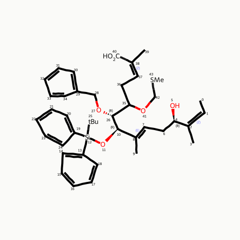 C/C=C(/C)[C@H](O)C/C=C(\C)[C@@H](O[Si](c1ccccc1)(c1ccccc1)C(C)(C)C)[C@H](OCc1ccccc1)C(C/C=C(/C)C(=O)O)OCSC